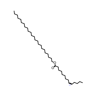 CCCC/C=C\CCCCCCCC(=O)OCCCCCCCCCCCCCCCCCCCCCCCC